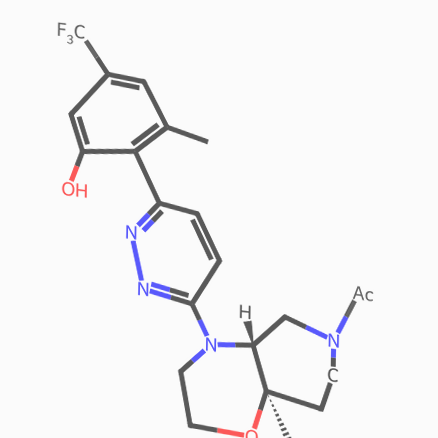 CC(=O)N1CC[C@H]2OCCN(c3ccc(-c4c(C)cc(C(F)(F)F)cc4O)nn3)[C@@H]2C1